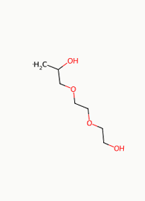 [CH2]C(O)COCCOCCO